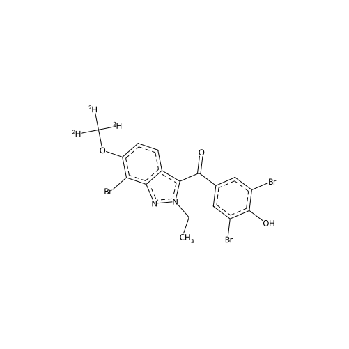 [2H]C([2H])([2H])Oc1ccc2c(C(=O)c3cc(Br)c(O)c(Br)c3)n(CC)nc2c1Br